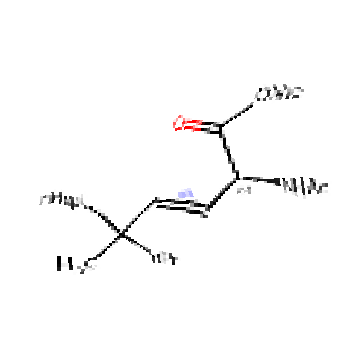 CCCCCCCC(C)(/C=C/[C@H](NC(C)=O)C(=O)OC)CCC